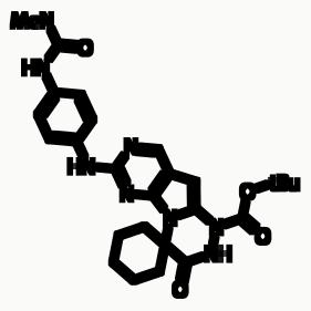 CNC(=O)Nc1ccc(Nc2ncc3cc4n(c3n2)C2(CCCCC2)C(=O)NN4C(=O)OC(C)(C)C)cc1